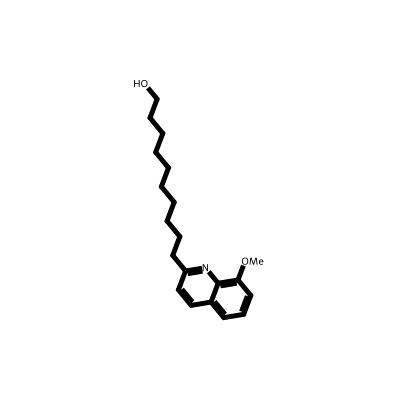 COc1cccc2ccc(CCCCCCCCCCO)nc12